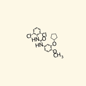 COc1ccc(NC(=O)Nc2c(Cl)cccc2Cl)cc1OC1CCCC1